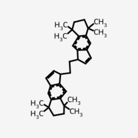 CC1(C)CCC(C)(C)c2cc3c(cc21)C=CC3CCC1C=Cc2cc3c(cc21)C(C)(C)CCC3(C)C